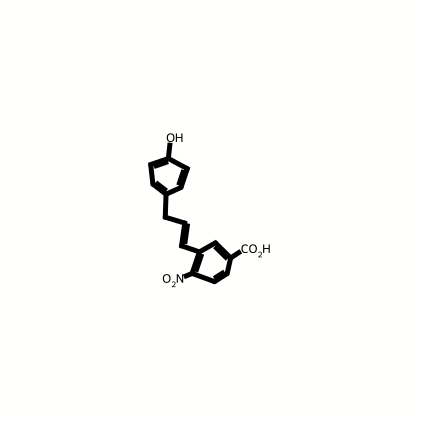 O=C(O)c1ccc([N+](=O)[O-])c(C=CCc2ccc(O)cc2)c1